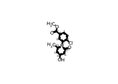 COC(=O)c1ccc(Cl)c(-n2c(C)cc(O)cc2=O)c1